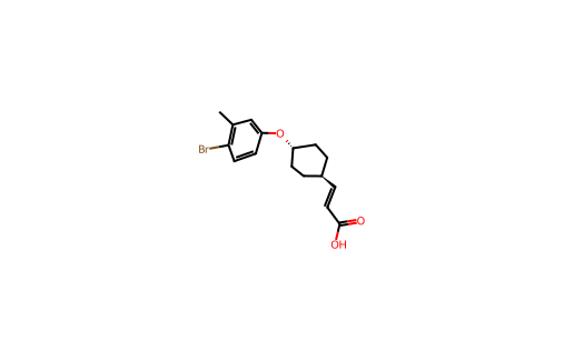 Cc1cc(O[C@H]2CC[C@H](C=CC(=O)O)CC2)ccc1Br